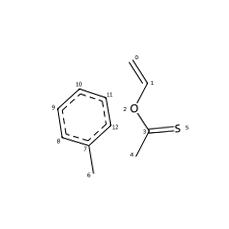 C=COC(C)=S.Cc1ccccc1